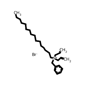 C=CC[N+](CC=C)(CCCCCCCCCCCCCCCC)Cc1ccccc1.[Br-]